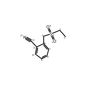 CCS(=O)(=O)Cc1ccccc1C#N